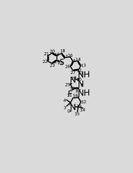 CN1C(C)(C)CC(Nc2nc(Nc3ccc(Cc4cc5ccccc5s4)cc3)ncc2F)CC1(C)C